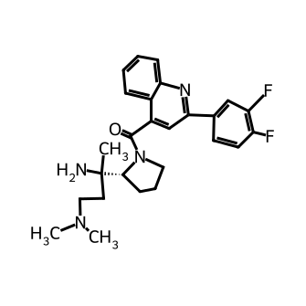 CN(C)CCC(C)(N)[C@H]1CCCN1C(=O)c1cc(-c2ccc(F)c(F)c2)nc2ccccc12